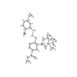 COC(=O)c1ccc(CCCc2cc(C)ccc2Br)c(B2OC(C)(C)C(C)(C)O2)c1